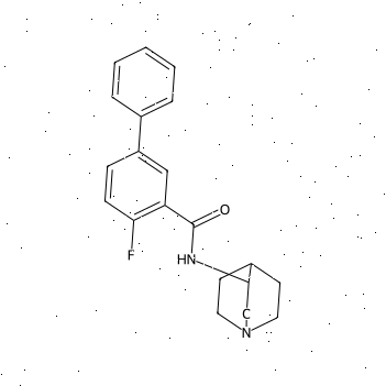 O=C(NC1CN2CCC1CC2)c1cc(-c2ccccc2)ccc1F